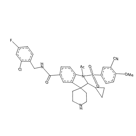 COc1ccc(S(=O)(=O)[N+]2(C(C)=O)c3ccc(C(=O)NCc4ccc(F)cc4Cl)cc3C3(CCNCC3)C2C2CC2)cc1C#N